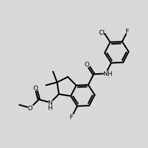 COC(=O)NC1c2c(F)ccc(C(=O)Nc3ccc(F)c(Cl)c3)c2CC1(C)C